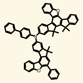 CC1(C)c2cc(N(c3ccc(-c4ccccc4)cc3)c3ccc4c(c3)C(C)(C)c3c5c(c6oc7ccccc7c6c3-4)-c3ccccc3C5(C)C)ccc2-c2c1cc(-c1ccccc1)c1oc3ccccc3c21